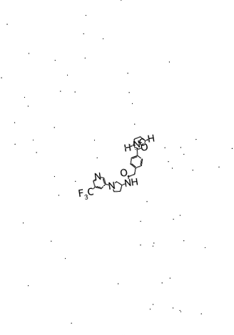 O=C(Cc1ccc(N2C[C@@H]3CC[C@H]2CO3)cc1)NC1CCN(c2cncc(C(F)(F)F)c2)C1